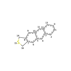 c1ccc2cc3cc4c(cc3cc2c1)CSC4